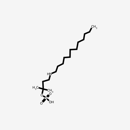 CCCCCCCCCCCCNCCC(C)(C)OS(=O)(=O)O